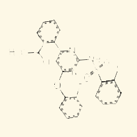 CC(C)c1ccccc1-c1cc(Oc2ccccc2F)nc(NS(=O)(=O)c2ccccc2Cl)n1